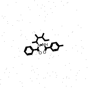 CCC(C)C(C)C(C)N(NC(=O)c1ccc(C)cc1)C(=O)c1ccccc1